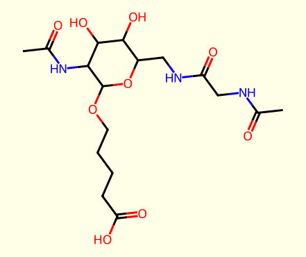 CC(=O)NCC(=O)NCC1OC(OCCCCC(=O)O)C(NC(C)=O)C(O)C1O